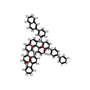 c1ccc(-c2ccc(-c3ccc(N(c4cccc(-c5ccc6ccccc6c5)c4)c4ccccc4-c4ccccc4N(c4ccc5c(c4)oc4ccccc45)c4ccccc4-c4ccccc4)cc3)cc2)cc1